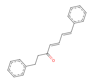 O=C(/C=C/C=C/c1ccccc1)CCc1ccccc1